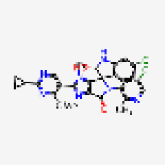 COc1nc(C2CC2)ncc1-c1nc2c(n1C(C)C)C1(c3ccc(Cl)cc3NC1O)N(c1cc(Cl)cnc1C)C2=O